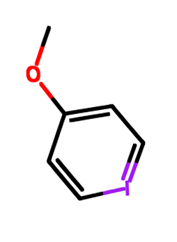 COC1=CC=IC=C1